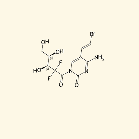 Nc1nc(=O)n(C(=O)C(F)(F)[C@@H](O)[C@H](O)CO)cc1C=CBr